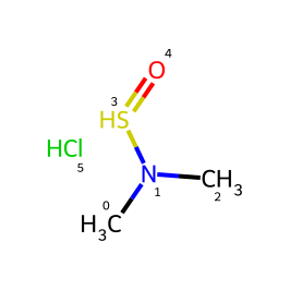 CN(C)[SH]=O.Cl